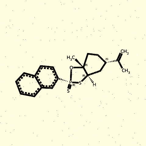 C=C(C)[C@H]1CC[C@@]2(C)O[P@@](=S)(c3ccc4ccccc4c3)S[C@@H]2C1